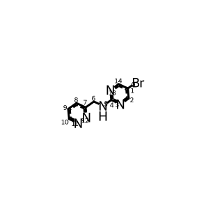 Brc1cnc(NCc2cccnn2)nc1